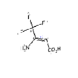 N/C(=C\C(=O)O)C(F)(F)F